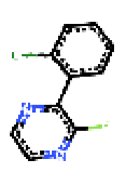 Fc1nccnc1-c1ccc[c]c1Cl